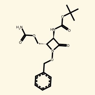 CC(C)(C)OC(=O)N[C@H]1C(=O)N(OCc2ccccc2)[C@@H]1COC(N)=O